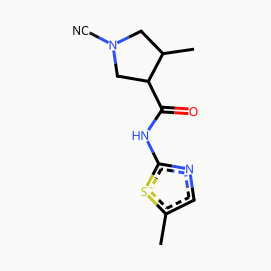 Cc1cnc(NC(=O)C2CN(C#N)CC2C)s1